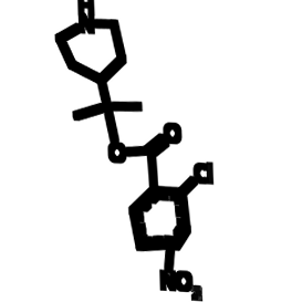 CC(C)(OC(=O)c1ccc([N+](=O)[O-])cc1Cl)C1CCNCC1